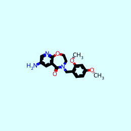 COc1ccc(CN2CCOc3ncc(N)cc3C2=O)c(OC)c1